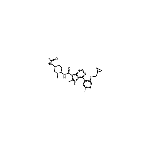 CC(=O)NC1CCC(NC(=O)c2c(C)[nH]c3c(-c4cc(C)ccc4OCC4CC4)ncnc23)C(C)C1